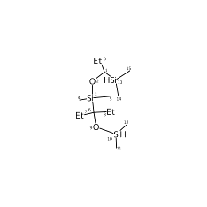 CCC(O[Si](C)(C)C(CC)(CC)O[SiH](C)C)[SiH](C)C